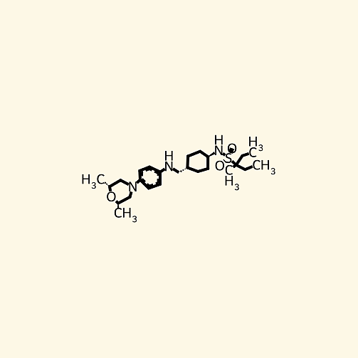 CCC(C)(CC)S(=O)(=O)N[C@H]1CC[C@H](CNc2ccc(N3C[C@@H](C)O[C@@H](C)C3)cc2)CC1